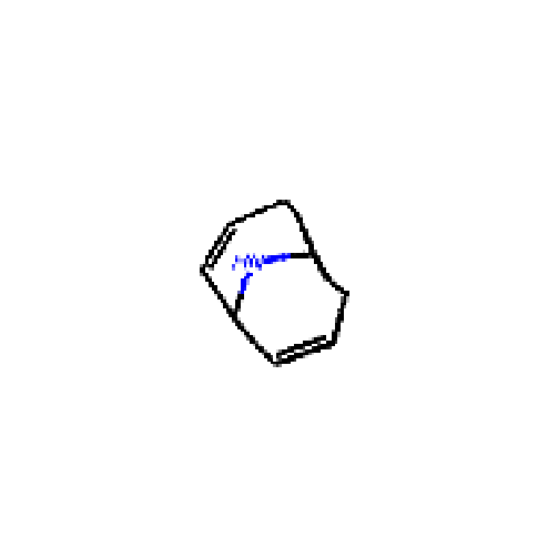 C1=CC2C=CCC(C1)N2